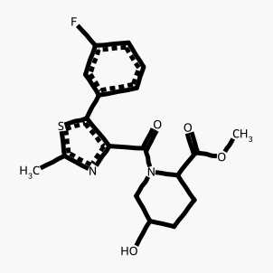 COC(=O)C1CCC(O)CN1C(=O)c1nc(C)sc1-c1cccc(F)c1